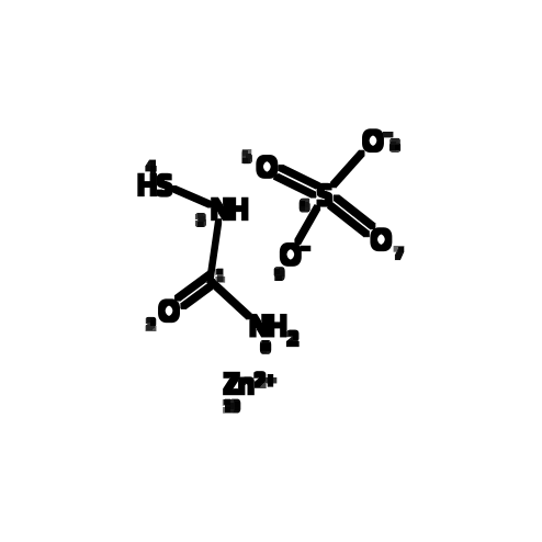 NC(=O)NS.O=S(=O)([O-])[O-].[Zn+2]